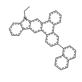 CCn1c2ccccc2c2cc3c4ccc(-c5cccc6ccccc56)cc4c4ccccc4c3cc21